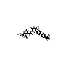 C=CCC(C/C(C)=C/c1nc(C2=CC=C(c3ccc(-n4ncn4C)cc3)CC2)c(Cl)cc1C)C1C(=C)CC(O)C1C